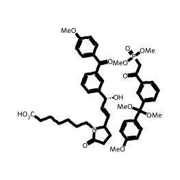 COc1ccc(C(=O)c2cccc([C@H](O)/C=C/C3CCC(=O)N3CCCCCCC(=O)O)c2)cc1.COc1ccc(C(OC)(OC)c2cccc(C(=O)CP(=O)(OC)OC)c2)cc1